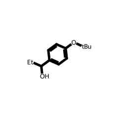 CCC(O)c1ccc(OC(C)(C)C)cc1